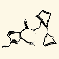 Cc1ccc(C(=O)Nc2ccccc2-c2cccs2)c(N)n1